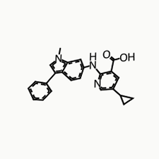 Cn1cc(-c2ccccc2)c2ccc(Nc3ncc(C4CC4)cc3C(=O)O)cc21